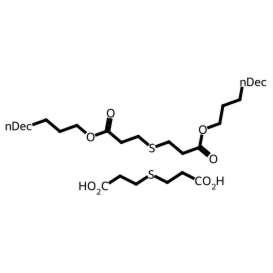 CCCCCCCCCCCCCOC(=O)CCSCCC(=O)OCCCCCCCCCCCCC.O=C(O)CCSCCC(=O)O